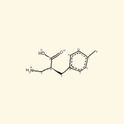 Cc1ccc(C[C@@H](CN)C(=O)O)cc1